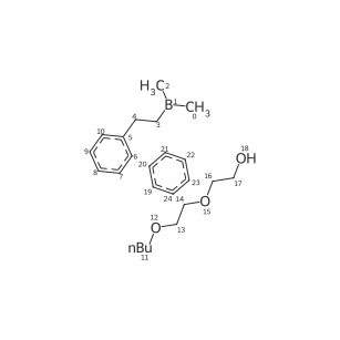 CB(C)CCc1ccccc1.CCCCOCCOCCO.c1ccccc1